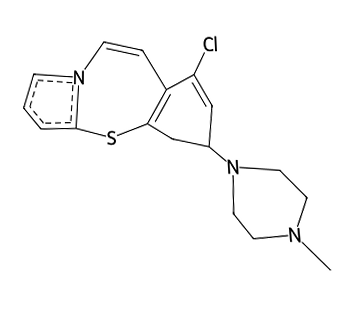 CN1CCN(C2C=C(Cl)C3=C(C2)Sc2cccn2C=C3)CC1